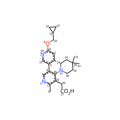 Cc1ncc(-c2ccc(OCC3CC3)nc2)c(N2CCC(C)(C)CC2)c1CC(=O)O